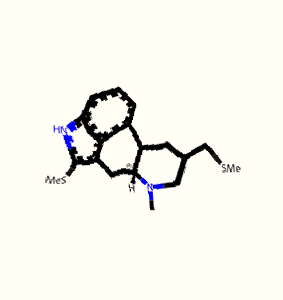 CSCC1CC2c3cccc4[nH]c(SC)c(c34)C[C@H]2N(C)C1